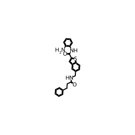 Nc1ccccc1NC(=O)c1cc2cc(CNC(=O)CCc3ccccc3)ccc2s1